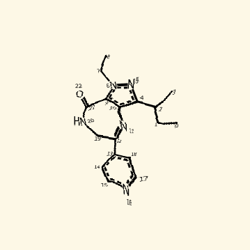 CCC(C)c1nn(CC)c2c1N=C(c1ccncc1)CNC2=O